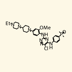 CCN1CCN(C2CCN(c3ccc(Nc4nnc(Cl)c(Nc5ccc(P(C)(C)=O)cc5)n4)c(OC)c3)CC2)CC1